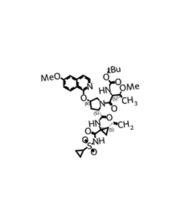 C=C[C@@H]1C[C@]1(NC(=O)[C@@H]1C[C@@H](Oc2nccc3cc(OC)ccc23)CN1C(=O)[C@@H](NC(=O)OC(C)(C)C)[C@H](C)OC)C(=O)NS(=O)(=O)C1CC1